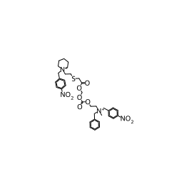 C[N+](CCOC(=O)OCOC(=O)CSCC[N+]1(Cc2ccc([N+](=O)[O-])cc2)CCCCC1)(Cc1ccccc1)Cc1ccc([N+](=O)[O-])cc1